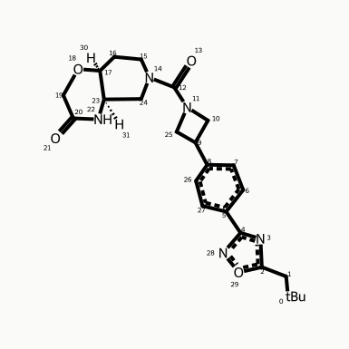 CC(C)(C)Cc1nc(-c2ccc(C3CN(C(=O)N4CC[C@@H]5OCC(=O)N[C@@H]5C4)C3)cc2)no1